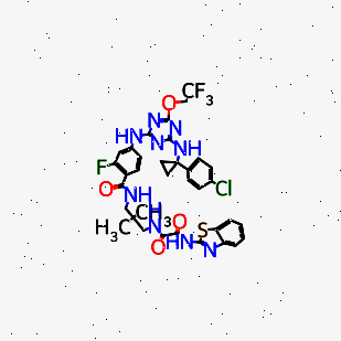 CC(C)(CNC(=O)C(=O)Nc1nc2ccccc2s1)CNC(=O)c1ccc(Nc2nc(NC3(c4ccc(Cl)cc4)CC3)nc(OCC(F)(F)F)n2)cc1F